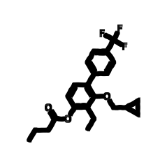 CCCC(=O)Oc1ccc(-c2ccc(C(F)(F)F)cc2)c(OCC2CC2)c1CC